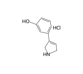 Cl.Oc1cccc(C2=CCNC2)c1